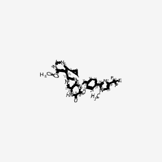 COc1ncnc(C2CC2)c1-c1ncc2[nH]c(=O)c(=O)n(Cc3ccc(-c4nc(C(F)(F)F)cn4C)cc3)c2n1